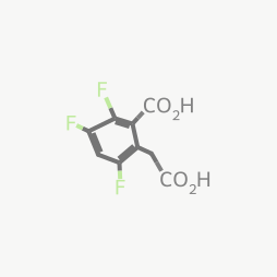 O=C(O)Cc1c(F)cc(F)c(F)c1C(=O)O